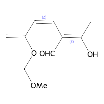 C=C(/C=C\C(C=O)=C(/C)O)OCOC